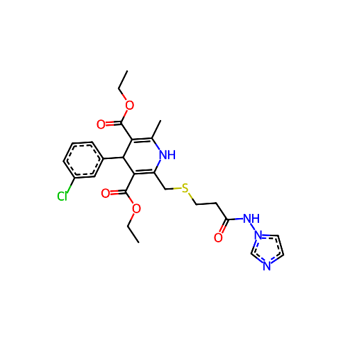 CCOC(=O)C1=C(C)NC(CSCCC(=O)Nn2ccnc2)=C(C(=O)OCC)C1c1cccc(Cl)c1